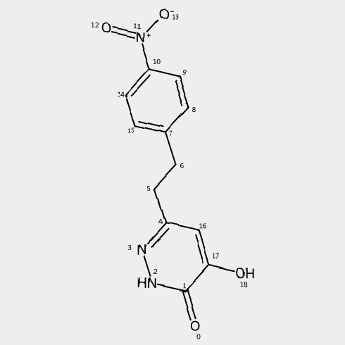 O=c1[nH]nc(CCc2ccc([N+](=O)[O-])cc2)cc1O